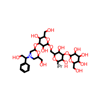 CC(C)C1OC(COC2OC(CO)C(O)C(OC3CN(C(CO)c4ccccc4)CC(CO)O3)C2O)C(O)C(OC2OC(CO)C(O)C(O)C2O)C1O